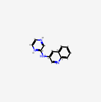 c1ccc2ncc(Nc3cnccn3)cc2c1